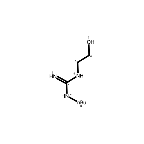 CCCCNC(=N)NCCO